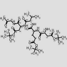 CC(C)[C@H](NC(=O)C(CCC(=O)OC(C)(C)C)NC(=O)[C@@H](N)CC(=O)OC(C)(C)C)C(=O)NC(CC(=O)OC(C)(C)C)C(=O)NCC(N)=O